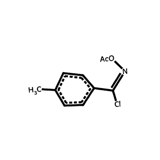 CC(=O)O/N=C(/Cl)c1ccc(C)cc1